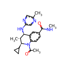 CNC(=O)c1ccc2c(c1)[C@H](Nc1cnc(C)cn1)[C@@H](C)[C@H](C1CC1)N2C(C)=O